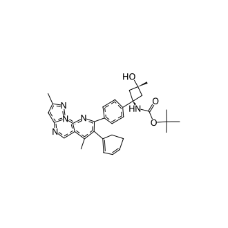 Cc1cc2ncc3c(C)c(C4=CC=CCC4)c(-c4ccc([C@]5(NC(=O)OC(C)(C)C)C[C@](C)(O)C5)cc4)nc3n2n1